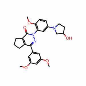 COc1cc(OC)cc(-c2nn(-c3cc(N4CCC(O)C4)ccc3OC)c(=O)c3c2CCC3)c1